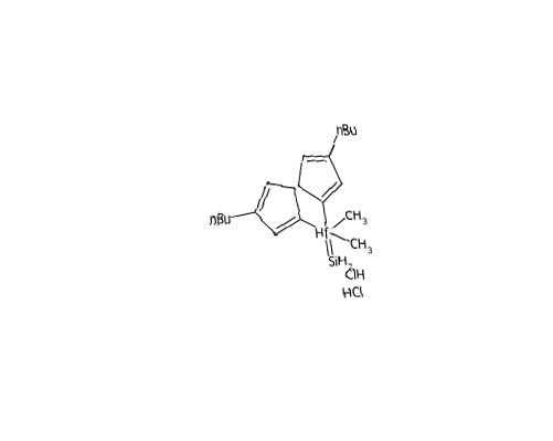 CCCCC1=CC[C]([Hf]([CH3])([CH3])(=[SiH2])[C]2=CC(CCCC)=CC2)=C1.Cl.Cl